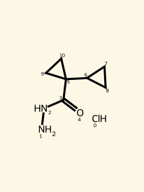 Cl.NNC(=O)C1(C2CC2)CC1